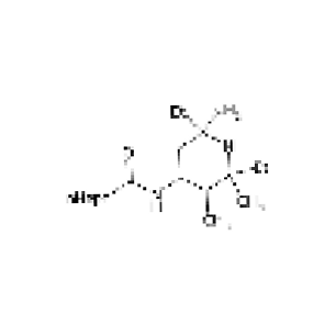 CCCCCCCC(=O)NC1CC(C)(CC)NC(C)(CC)C1C